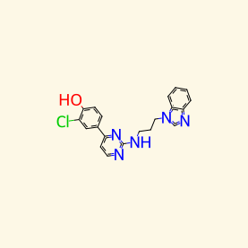 Oc1ccc(-c2ccnc(NCCCn3cnc4ccccc43)n2)cc1Cl